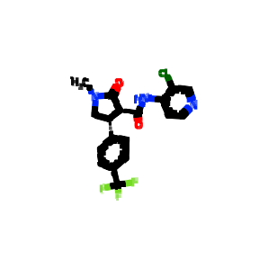 CN1C[C@@H](c2ccc(C(F)(F)F)cc2)[C@H](C(=O)Nc2ccncc2Cl)C1=O